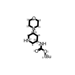 CC(C)(C)OC(=O)N[C@@H]1CNC[C@@H](N2CCOCC2)C1